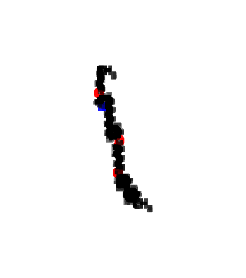 CCCCCOc1ccc(CCCCc2ccc(OCCCCCCOc3ccc(-c4ccc(C)cc4)cc3)cc2)nc1